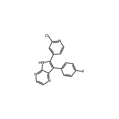 Fc1ccc(-c2c(-c3ccnc(Cl)c3)[nH]c3nccnc23)cc1